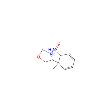 CC1(C2COCN2)C=CC=CC1C(N)=O